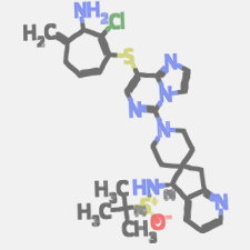 C=C1CC=CC(Sc2cnc(N3CCC4(CC3)Cc3ncccc3[C@H]4N[S@@+]([O-])C(C)(C)C)n3ccnc23)=C(Cl)C1N